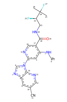 CC(C)Nc1cc(-n2cnc3cc(C#N)cnc32)ncc1C(=O)NC[C@@H](F)C(C)(C)F